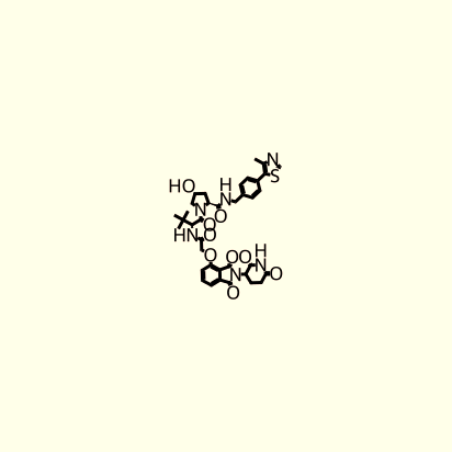 Cc1ncsc1-c1ccc(CNC(=O)[C@@H]2C[C@@H](O)CN2C(=O)[C@@H](NC(=O)COc2cccc3c2C(=O)N(C2CCC(=O)NC2=O)C3=O)C(C)(C)C)cc1